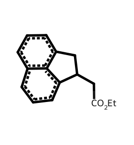 CCOC(=O)CC1Cc2cccc3cccc1c23